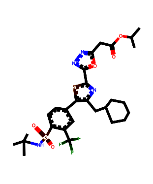 CC(C)OC(=O)Cc1nnc(-c2nc(CC3CCCCC3)c(-c3ccc(S(=O)(=O)NC(C)(C)C)c(C(F)(F)F)c3)s2)o1